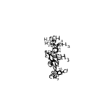 CCS(=O)(=O)c1ccc(Cl)cc1Cn1cnc2c(OC)c(CN3CCC[C@H](N(C)C(=O)OC(C)(C)C)C3)c(C(F)(F)F)cc2c1=O